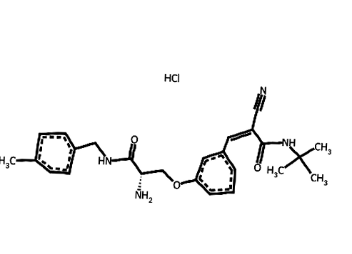 Cc1ccc(CNC(=O)[C@@H](N)COc2cccc(C=C(C#N)C(=O)NC(C)(C)C)c2)cc1.Cl